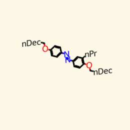 CCCCCCCCCCCOc1ccc(N=Nc2ccc(OCCCCCCCCCCC)c(CCC)c2)cc1